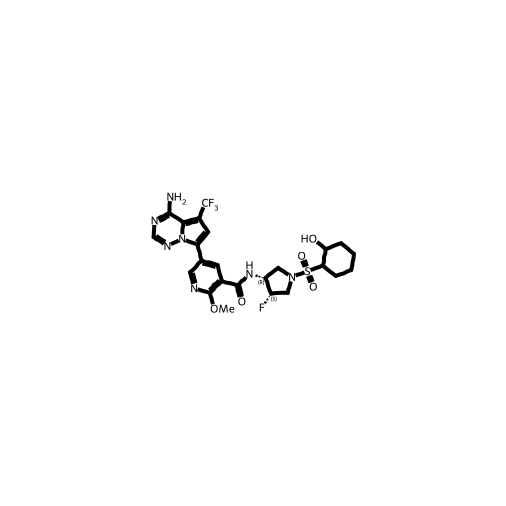 COc1ncc(-c2cc(C(F)(F)F)c3c(N)ncnn23)cc1C(=O)N[C@@H]1CN(S(=O)(=O)C2CCCCC2O)C[C@@H]1F